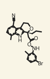 CCC[C@]1(CC(=O)ONc2cc(Br)ccc2C)OCCc2c1[nH]c1c(C)ccc(C#N)c21